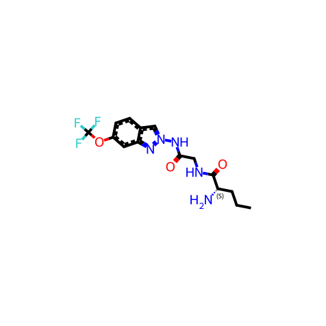 CCC[C@H](N)C(=O)NCC(=O)Nn1cc2ccc(OC(F)(F)F)cc2n1